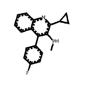 CPc1c(C2CC2)nc2ccccc2c1-c1ccc(F)cc1